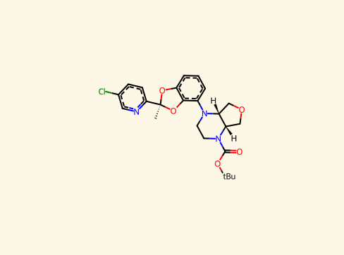 CC(C)(C)OC(=O)N1CCN(c2cccc3c2O[C@@](C)(c2ccc(Cl)cn2)O3)[C@@H]2COC[C@@H]21